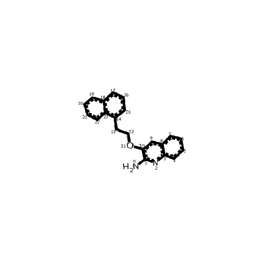 Nc1nc2ccccc2cc1OCCc1cccc2ccccc12